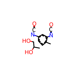 CC(O)CO.Cc1ccc(N=C=O)cc1N=C=O